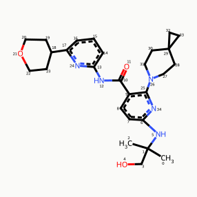 CC(C)(CO)Nc1ccc(C(=O)Nc2cccc(C3CCOCC3)n2)c(N2CCC3(CC2)CC3)n1